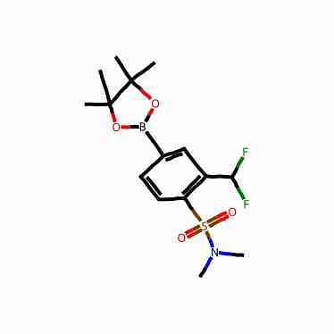 CN(C)S(=O)(=O)c1ccc(B2OC(C)(C)C(C)(C)O2)cc1C(F)F